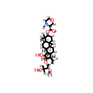 CCO[C@@H]([C@H]1C[C@@H](C)[C@H]2[C@H](O1)[C@H](O)[C@@]1(C)[C@@H]3CC[C@H]4C(C)(C)[C@@H](OC(=O)[C@@H]5COCCN5C)CCC45C[C@@]35CC[C@]21C)C(C)(C)O